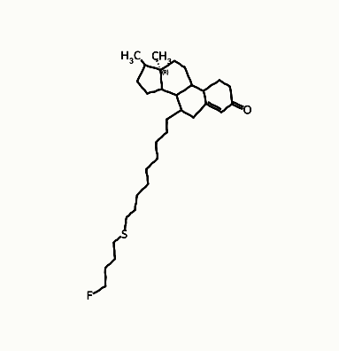 CC1CCC2C3C(CCCCCCCCCSCCCCF)CC4=CC(=O)CCC4C3CC[C@]12C